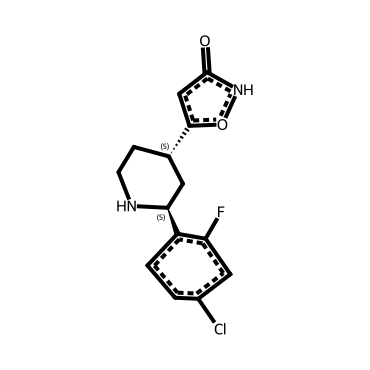 O=c1cc([C@H]2CCN[C@H](c3ccc(Cl)cc3F)C2)o[nH]1